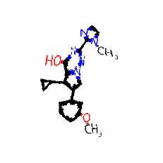 COc1cccc(-c2cn3nc(-c4nccn4C)nc(O)c3c2C2CC2)c1